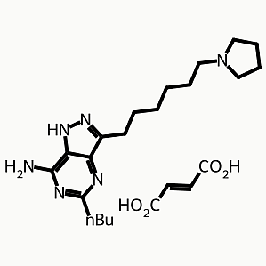 CCCCc1nc(N)c2[nH]nc(CCCCCCN3CCCC3)c2n1.O=C(O)C=CC(=O)O